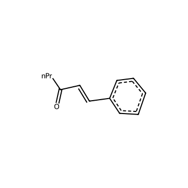 CCCC(=O)C=Cc1ccccc1